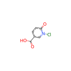 O=C(O)c1ccc(=O)n(Cl)c1